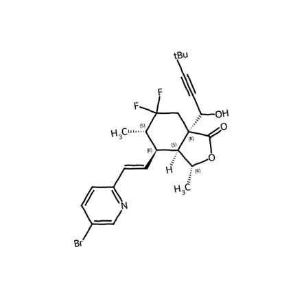 C[C@H]1OC(=O)[C@]2(C(O)C#CC(C)(C)C)CC(F)(F)[C@@H](C)[C@H](C=Cc3ccc(Br)cn3)[C@H]12